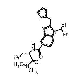 CCC(CC)n1c(Cc2cccs2)nc2cc(C(=O)N[C@@H](CC(C)C)C(=O)N(C)C)ccc21